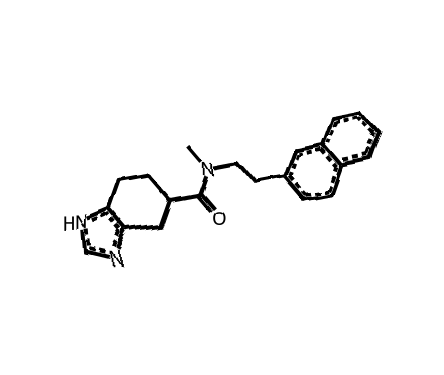 CN(CCc1ccc2ccccc2c1)C(=O)C1CCc2[nH]cnc2C1